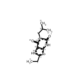 CCc1nc2[nH]c(=O)n(CC(C)C)c(=O)c2[nH]1